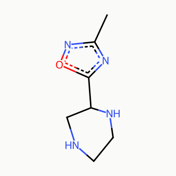 Cc1noc(C2CNCCN2)n1